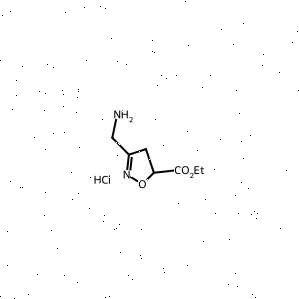 CCOC(=O)C1CC(CN)=NO1.Cl